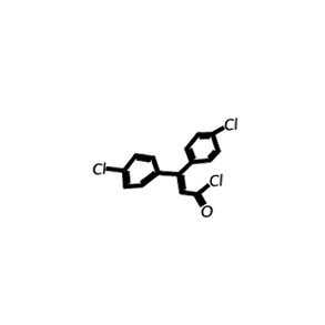 O=C(Cl)C=C(c1ccc(Cl)cc1)c1ccc(Cl)cc1